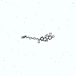 [N-]=[N+]=NCCOCCOCCNc1ccc2c(=O)n(C3CCC(=O)NC3=O)ncc2c1